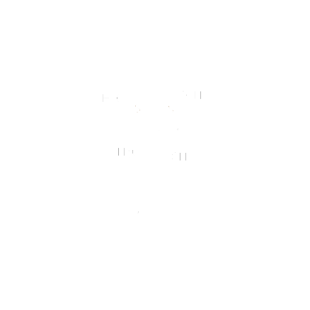 CSCC(CSC)C(C)(C)c1ccccc1